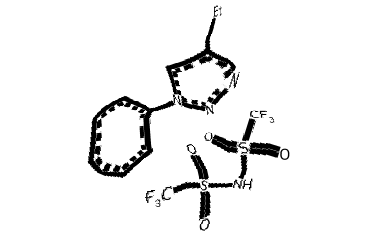 CCc1cn(-c2ccccc2)nn1.O=S(=O)(NS(=O)(=O)C(F)(F)F)C(F)(F)F